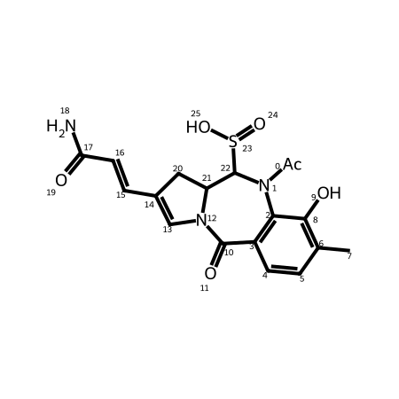 CC(=O)N1c2c(ccc(C)c2O)C(=O)N2C=C(C=CC(N)=O)CC2C1S(=O)O